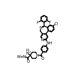 CNC(=O)C1(N)CCN(C(=O)c2ccc(Nc3cc4c(cn3)CN=C(c3c(F)cccc3F)c3cc(Cl)ccc3-4)cc2)CC1